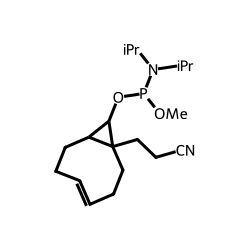 COP(OC1C2CC/C=C/CCC21CCC#N)N(C(C)C)C(C)C